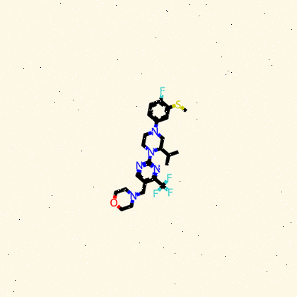 CSc1cc(N2CCN(c3ncc(CN4CCOCC4)c(C(F)(F)F)n3)C(C(C)C)C2)ccc1F